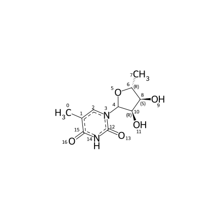 Cc1cn(C2O[C@H](C)[C@@H](O)[C@H]2O)c(=O)[nH]c1=O